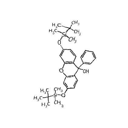 CC(C)(C)[Si](C)(C)Oc1ccc2c(c1)Oc1cc(O[Si](C)(C)C(C)(C)C)ccc1C2(O)c1ccccc1